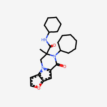 CC1(C(=O)NC2CCCCC2)Cn2c(cc3occc32)C(=O)N1C1CCCCCC1